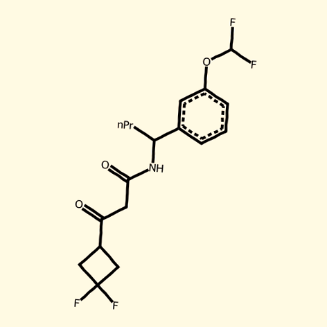 CCCC(NC(=O)CC(=O)C1CC(F)(F)C1)c1cccc(OC(F)F)c1